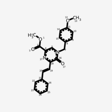 COC(=O)c1cn(Cc2ccc(OC)cc2)c(=O)c(/C=C/c2ccccc2)n1